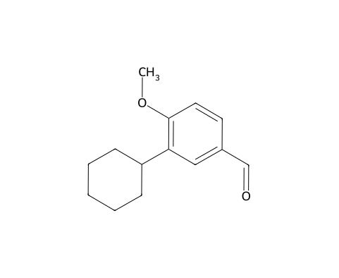 COc1ccc(C=O)cc1C1CCCCC1